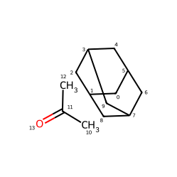 C1C2CC3CC1CC(C2)C3.CC(C)=O